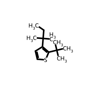 CCC(C)(C)c1ccsc1C(C)(C)C